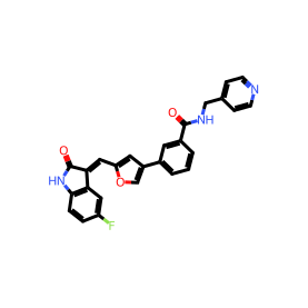 O=C1Nc2ccc(F)cc2/C1=C\c1cc(-c2cccc(C(=O)NCc3ccncc3)c2)co1